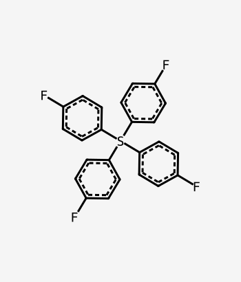 Fc1ccc(S(c2ccc(F)cc2)(c2ccc(F)cc2)c2ccc(F)cc2)cc1